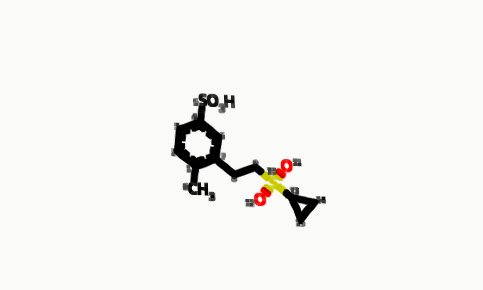 Cc1ccc(S(=O)(=O)O)cc1CCS(=O)(=O)C1CC1